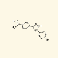 CN(C)c1ccc(-c2n[nH]c(-c3ccc(Br)cc3)n2)cc1